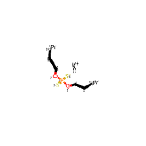 CC(C)CCOP(=S)([S-])OCCC(C)C.[K+]